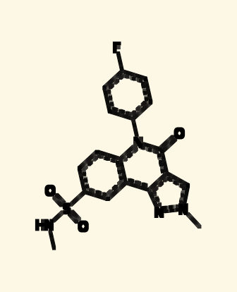 CNS(=O)(=O)c1ccc2c(c1)c1nn(C)cc1c(=O)n2-c1ccc(F)cc1